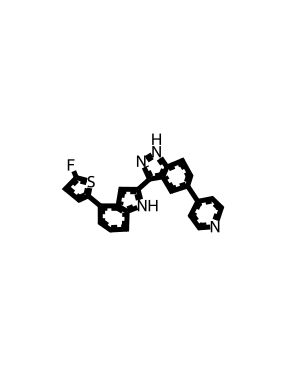 Fc1ccc(-c2cccc3[nH]c(-c4n[nH]c5ccc(-c6ccncc6)cc45)cc23)s1